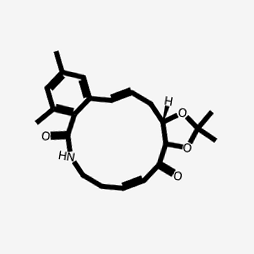 Cc1cc(C)c2c(c1)/C=C/C[C@@H]1OC(C)(C)OC1C(=O)/C=C\CCNC2=O